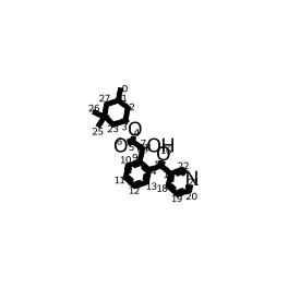 CC1CC(OC(=O)[C@H](O)c2ccccc2C(=O)c2cccnc2)CC(C)(C)C1